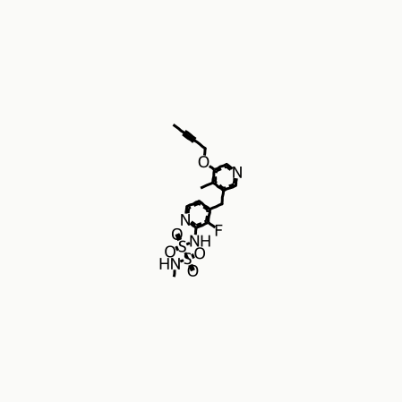 CC#CCOc1cncc(Cc2ccnc(NS(=O)(=O)S(=O)(=O)NC)c2F)c1C